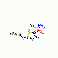 CCCCCCc1cnc(S(N)(=O)=O)s1